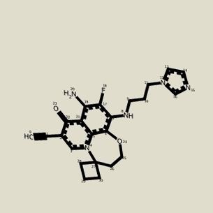 C#Cc1cn2c3c(c(NCCCn4ccnc4)c(F)c(N)c3c1=O)OCCC21CCC1